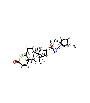 C[C@]12CC[C@H]3[C@@H](CCC4SC(=O)C=C[C@@]43C)[C@@H]1C[C@H](C(=O)Nc1cc(C(F)(F)F)ccc1C(F)(F)F)C2